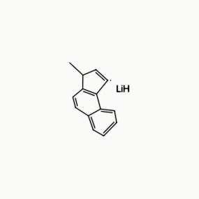 CC1C=[C]c2c1ccc1ccccc21.[LiH]